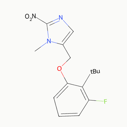 Cn1c(COc2cccc(F)c2C(C)(C)C)cnc1[N+](=O)[O-]